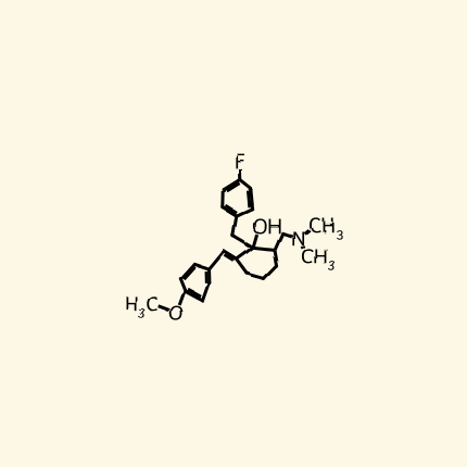 COc1ccc(/C=C2\CCCC(CN(C)C)C2(O)Cc2ccc(F)cc2)cc1